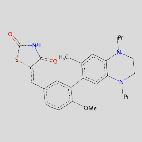 COc1ccc(C=C2SC(=O)NC2=O)cc1-c1cc2c(cc1C)N(C(C)C)CCN2C(C)C